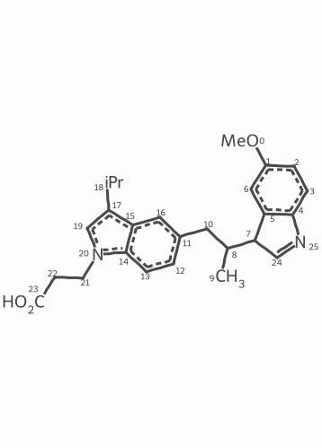 COc1ccc2c(c1)C(C(C)Cc1ccc3c(c1)c(C(C)C)cn3CCC(=O)O)C=N2